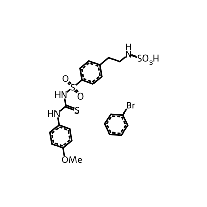 Brc1ccccc1.COc1ccc(NC(=S)NS(=O)(=O)c2ccc(CCNS(=O)(=O)O)cc2)cc1